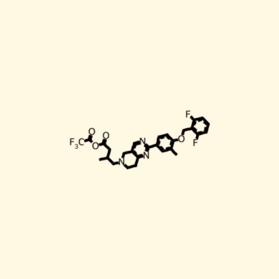 Cc1cc(-c2ncc3c(n2)CCN(CC(C)CC(=O)OC(=O)C(F)(F)F)C3)ccc1OCc1c(F)cccc1F